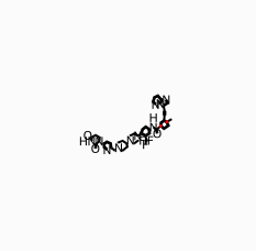 Cc1ccc(C(=O)Nc2ccc(N3CCN(C4CCN(Cc5ccc(N6CCC(=O)NC6=O)cn5)CC4)CC3)c(C(F)(F)F)c2)cc1C#Cc1cnc2cccnn12